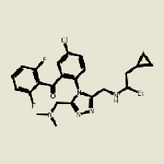 CCC(CC1CC1)NCc1nnc(CN(C)C)n1-c1ccc(Cl)cc1C(=O)c1c(F)cccc1F